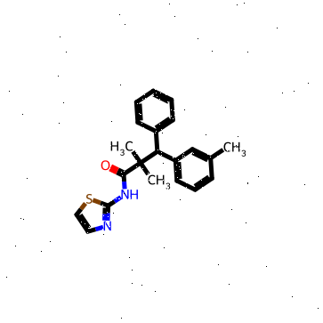 Cc1cccc(C(c2ccccc2)C(C)(C)C(=O)Nc2nccs2)c1